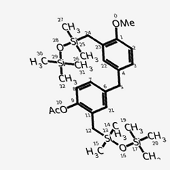 COc1ccc(Cc2ccc(OC(C)=O)c(C[Si](C)(C)O[Si](C)(C)C)c2)cc1C[Si](C)(C)O[Si](C)(C)C